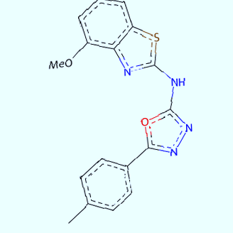 COc1cccc2sc(Nc3nnc(-c4ccc(C)cc4)o3)nc12